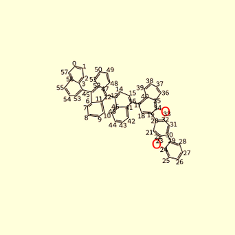 c1ccc2c(-c3c4ccccc4c(-c4ccc(-c5cc6c7cc8oc9ccccc9c8cc7oc6c6ccccc56)c5ccccc45)c4ccccc34)cccc2c1